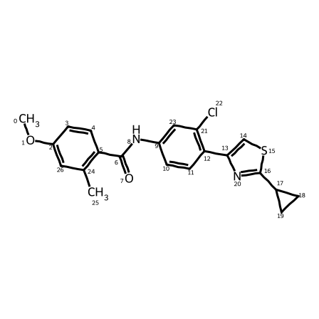 COc1ccc(C(=O)Nc2ccc(-c3csc(C4CC4)n3)c(Cl)c2)c(C)c1